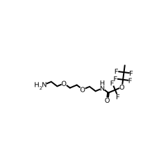 CC(F)(F)C(F)(F)OC(F)(F)C(=O)NCCOCCOCCN